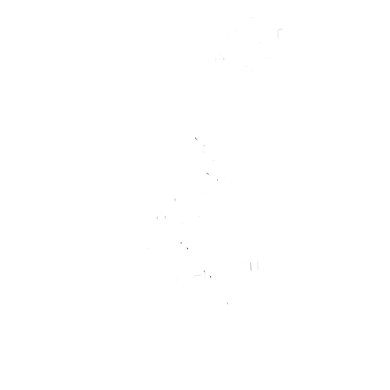 CC(C)NC(=S)N(C(=O)[C@H]1CC[C@H]2[C@@H]3CCc4cc(OS(=O)(=O)C(F)(F)F)ccc4[C@H]3CC[C@]12C)C(C)C